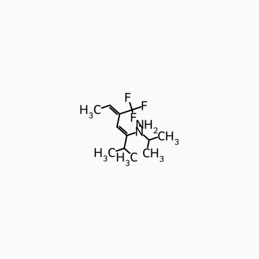 C/C=C(\C=C(\C(C)C)N(N)C(C)C)C(F)(F)F